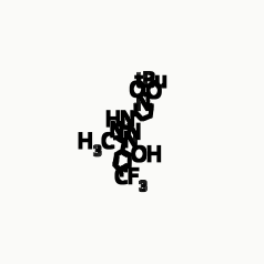 Cc1nc(NC2CCCN(C(=O)OC(C)(C)C)C2)nnc1-c1ccc(C(F)(F)F)cc1O